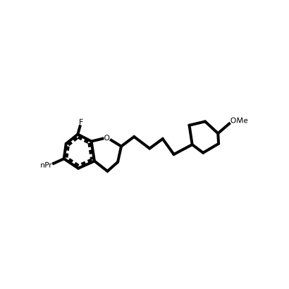 CCCc1cc(F)c2c(c1)CCC(CCCCC1CCC(OC)CC1)O2